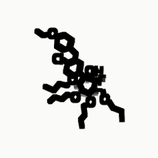 CCCCOC[C@@H]1[C@@H](OCCCC)[C@H](OCCCC)[C@@H](OCCCC)[C@@](O)(c2ccc(Cl)c(Cc3ccc(OCC)cc3)c2)C1(F)F